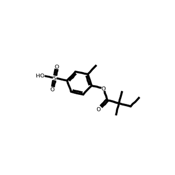 CCC(C)(C)C(=O)Oc1ccc(S(=O)(=O)O)cc1C